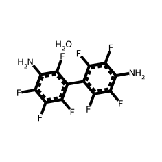 Nc1c(F)c(F)c(-c2c(F)c(N)c(F)c(F)c2F)c(F)c1F.O